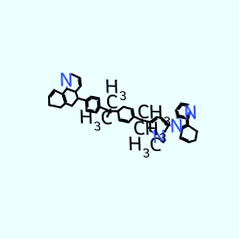 CN1CC(n2c3c(c4ncccc42)CCC=C3)=CC=C(C(C)(C)C2=CCC(C(C)(C)c3ccc(C4CC5=C(C=CCC5)C5N=CC=CC54)cc3)C=C2)C1